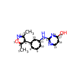 Cc1noc(C)c1-c1cccc(Nc2nccc(O)n2)c1